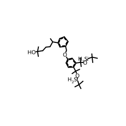 CC(CCCC(C)(C)O)c1cccc(COc2ccc(C(C)(C)O[SiH2]C(C)(C)C)c(C(C)(C)O[SiH2]C(C)(C)C)c2)c1